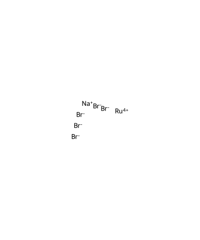 [Br-].[Br-].[Br-].[Br-].[Br-].[Na+].[Ru+4]